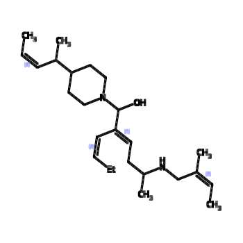 C/C=C\C(C)C1CCN(C(O)C(/C=C\CC)=C/CC(C)NC/C(C)=C\C)CC1